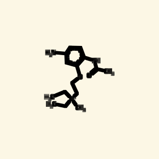 CC[N+](C)(CC)CCOc1cc(N)ccc1NC(C)=O